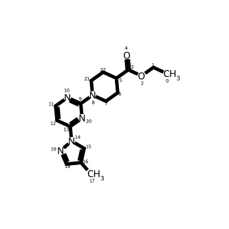 CCOC(=O)C1CCN(c2nccc(-n3cc(C)cn3)n2)CC1